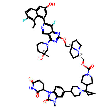 CCc1c(F)ccc2cc(O)cc(-c3ncc4c(N5CCC[C@@](C)(O)C5)nc(OC[C@@]56CCCN5[C@H](COC(=O)N5CCC(C7(N8CCC(c9ccc%10c(c9)n(C)c(=O)n%10C9CCC(=O)NC9=O)CC8)CC7)CC5)CC6)nc4c3F)c12